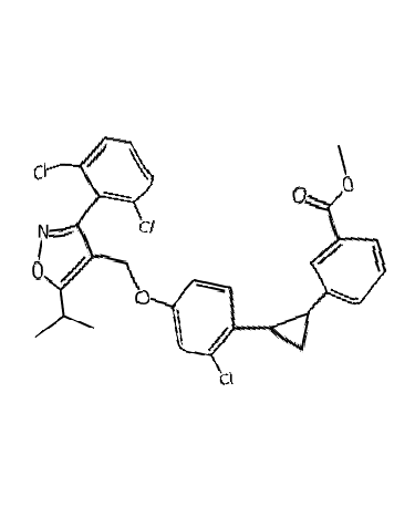 COC(=O)c1cccc(C2CC2c2ccc(OCc3c(-c4c(Cl)cccc4Cl)noc3C(C)C)cc2Cl)c1